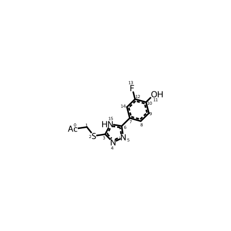 CC(=O)CSc1nnc(-c2ccc(O)c(F)c2)[nH]1